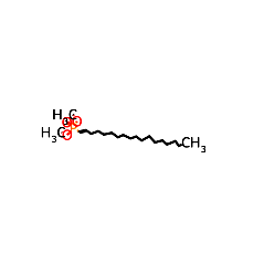 CCCCCCCCCCCCCCCCC=CP(=O)(OC)OC